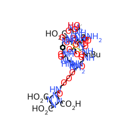 CCCC[C@H](NC(=O)CCC(=O)NCCCOCCOCCOCCCNC(=O)CN1CCN(CC(=O)O)CCN(CC(=O)O)CCN(CC(=O)O)CC1)C(=O)N[C@@H](CSC1=C(SC[C@H](NC(=O)[C@H](Cc2ccccc2)NC(=O)[C@H](CCC(N)=O)NC(=O)C[C@@H](C)O)C(=O)N[C@@H](CC(=O)O)C(=O)NCc2ccc(C(=O)N[C@@H](CCCNC(=N)N)C(N)=O)cc2)C(=O)NC1=O)C(=O)N1CCC[C@H]1C(=O)N1CCC[C@H]1C(N)=O